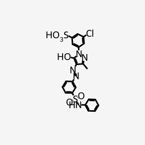 Cc1nn(-c2cc(Cl)cc(S(=O)(=O)O)c2)c(O)c1/N=N/c1cccc(S(=O)(=O)Nc2ccccc2)c1